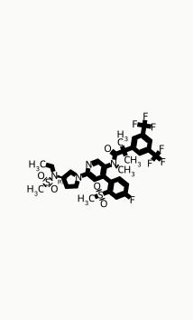 CCN([C@@H]1CCN(c2cc(-c3ccc(F)cc3S(C)(=O)=O)c(N(C)C(=O)C(C)(C)c3cc(C(F)(F)F)cc(C(F)(F)F)c3)cn2)C1)S(C)(=O)=O